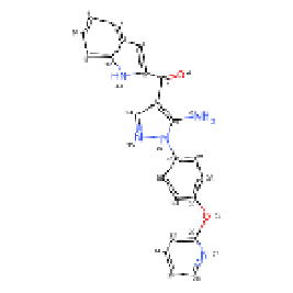 Nc1c(C(=O)c2cc3ccccc3[nH]2)cnn1-c1ccc(Oc2ccccn2)cc1